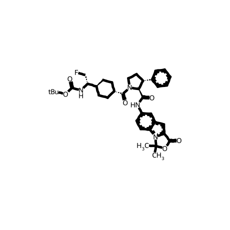 CC(C)(C)OC(=O)N[C@H](CF)[C@H]1CC[C@H](C(=O)N2CC[C@H](c3ccccc3)[C@H]2C(=O)Nc2ccc3c(c2)cc2n3C(C)(C)OC2=O)CC1